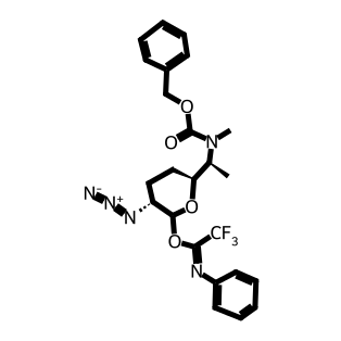 C[C@@H]([C@@H]1CC[C@@H](N=[N+]=[N-])C(O/C(=N/c2ccccc2)C(F)(F)F)O1)N(C)C(=O)OCc1ccccc1